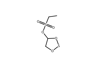 CCS(=O)(=O)OC1COSO1